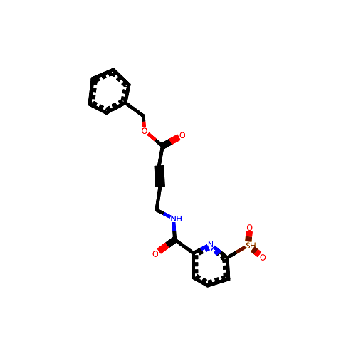 O=C(C#CCNC(=O)c1cccc([SH](=O)=O)n1)OCc1ccccc1